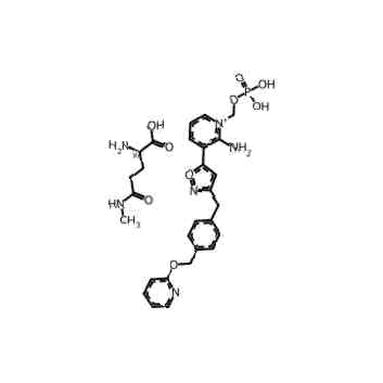 CNC(=O)CC[C@@H](N)C(=O)O.Nc1c(-c2cc(Cc3ccc(COc4ccccn4)cc3)no2)ccc[n+]1COP(=O)(O)O